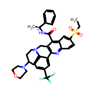 CCS(=O)(=O)c1ccc2nc(-c3cccc(C(F)(F)F)c3)c(CN3CCC(N4CCOCC4)CC3)c(C(=O)N[C@@H](C)c3ccccc3)c2c1